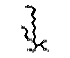 C=C[CH2][Sn].CCCCCCCCC=CCCCCCCC(C(=O)O)C(C)S